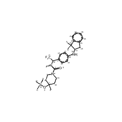 CN(C(=O)N1CCC(C)(O[Si](C)(C)C)CC1)C(c1ccc(NC2Cc3ccccc3C2(C)C)cc1)C(F)(F)F